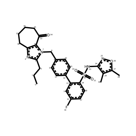 CCCc1nc2c(n1Cc1ccc(-c3cc(F)ccc3S(=O)(=O)Nc3noc(C)c3C)cc1)C(=O)CCCC2